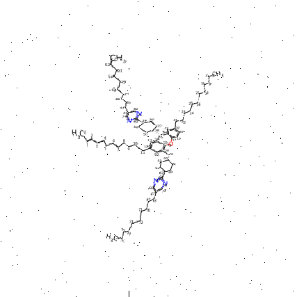 CCCCCCCCCCCCc1ccc(Oc2ccc(CCCCCCCCCCCC)cc2C[C@H]2CC[C@H](c3ncc(CCCCCCCCCC)cn3)CC2)c(C[C@H]2CC[C@H](c3ncc(CCCCCCCCCC)cn3)CC2)c1